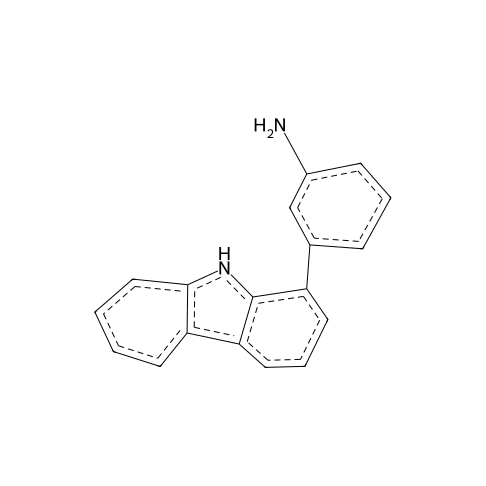 Nc1cccc(-c2cccc3c2[nH]c2ccccc23)c1